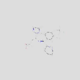 Cc1cnc2n1-c1cc(OC(F)(F)F)c(Cl)cc1C(c1ccccn1)=N[C@H]2CCC(=O)O